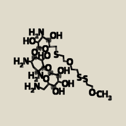 COCCSSCCOCCSCC1O[C@H](O[C@H]2C(N)C[C@H](N)[C@H](O[C@H]3OC(CN)[C@@H](O)C(O)[C@@H]3O)C2O)C(O)C(N)[C@@H]1O